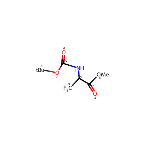 COC(=O)C(NC(=O)OC(C)(C)C)C(F)(F)F